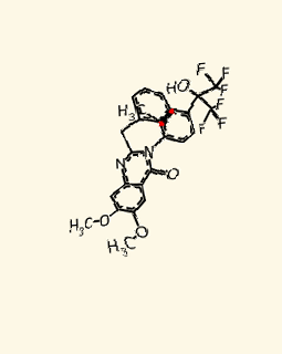 COc1cc2nc(Cc3ccccc3)n(-c3ccc(C(O)(C(F)(F)F)C(F)(F)F)cc3C)c(=O)c2cc1OC